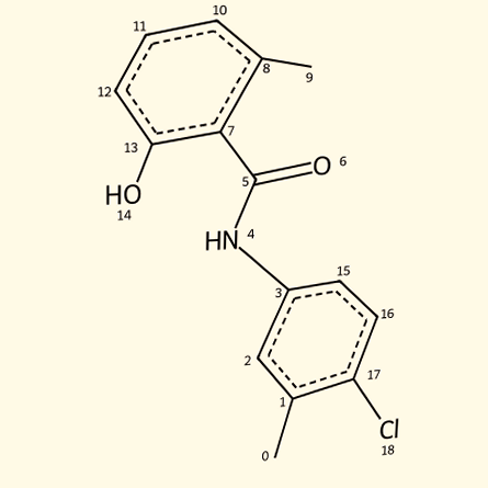 Cc1cc(NC(=O)c2c(C)cccc2O)ccc1Cl